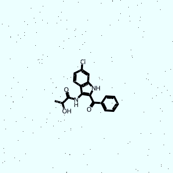 CC(O)C(=O)Nc1c(C(=O)c2ccccc2)[nH]c2cc(Cl)ccc12